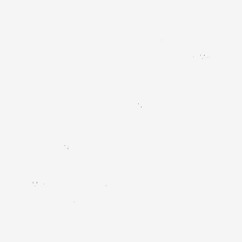 COC(=O)c1ccnc(Cc2ccc3nc(C(=O)OC)c(Cl)cc3c2)c1